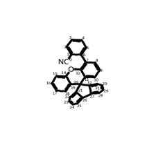 N#Cc1ccccc1-c1cccc2c1Oc1ccccc1C21c2ccccc2-c2ccccc21